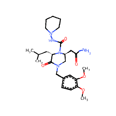 COc1ccc(CN2C[C@H](CC(N)=O)N(C(=O)NN3CCCCC3)[C@@H](CC(C)C)C2=O)cc1OC